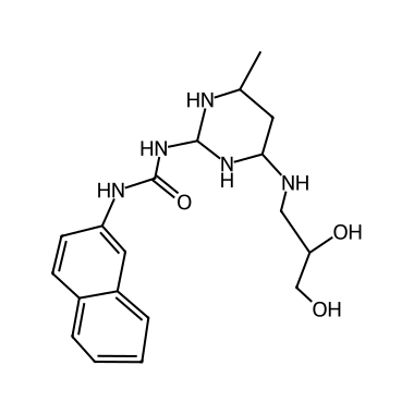 CC1CC(NCC(O)CO)NC(NC(=O)Nc2ccc3ccccc3c2)N1